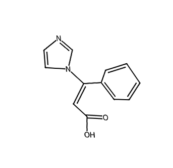 O=C(O)/C=C(\c1ccccc1)n1ccnc1